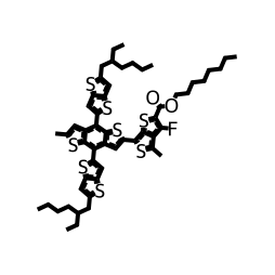 CCCCCCCCOC(=O)c1sc2c(-c3cc4c(-c5cc6sc(CC(CC)CCCC)cc6s5)c5sc(C)cc5c(-c5cc6sc(CC(CC)CCCC)cc6s5)c4s3)sc(C)c2c1F